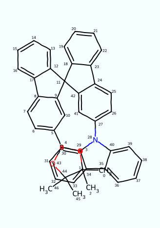 CC1(C)OB(c2ccc3c(c2)C2(c4ccccc4-3)c3ccccc3-c3ccc(-n4c5ccccc5c5ccccc54)cc32)OC1(C)C